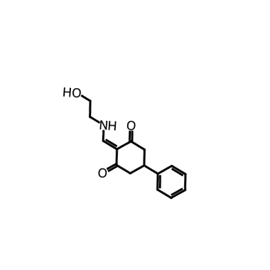 O=C1CC(c2ccccc2)CC(=O)C1=CNCCO